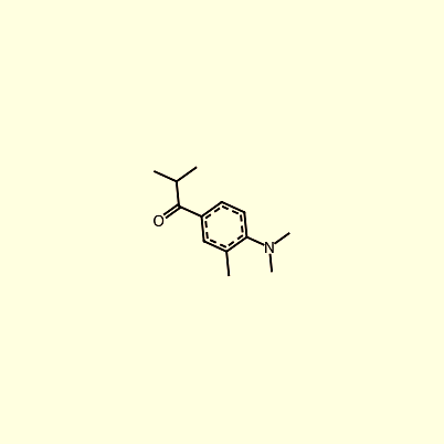 Cc1cc(C(=O)C(C)C)ccc1N(C)C